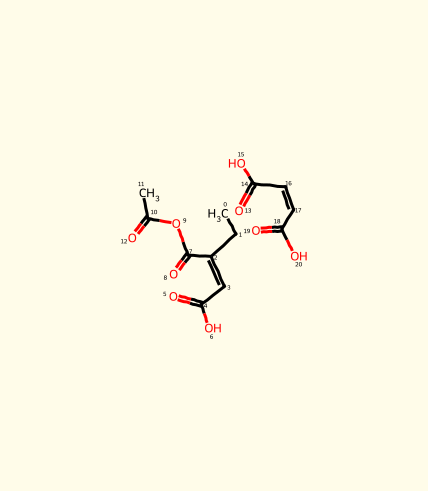 CC/C(=C/C(=O)O)C(=O)OC(C)=O.O=C(O)/C=C\C(=O)O